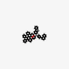 c1ccc(-c2c(-c3ccccc3)c(-c3ccccc3)c3c(-c4ccc(N(c5ccc(-c6cccc7ccccc67)cc5)c5ccc6c(c5)oc5ccccc56)cc4)cccc3c2-c2ccccc2)cc1